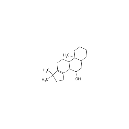 CC1(C)CCC2=C1CCC1C2[C@@H](O)CC2CCCC[C@@]21C